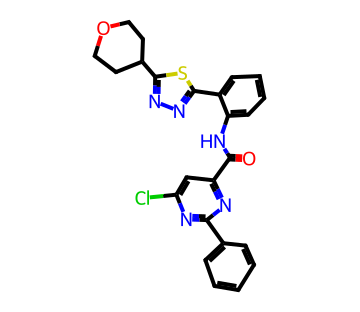 O=C(Nc1ccccc1-c1nnc(C2CCOCC2)s1)c1cc(Cl)nc(-c2ccccc2)n1